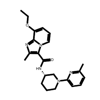 CCOc1cccn2c(C(=O)N[C@H]3CCCN(c4cccc(C)n4)C3)c(C)nc12